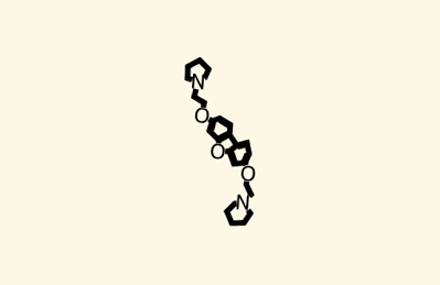 c1cc2c(cc1OCCN1CCCCC1)oc1cc(OCCN3CCCCC3)ccc12